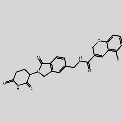 O=C1CCC(N2Cc3cc(CNC(=O)C4=Cc5c(F)cccc5OC4)ccc3C2=O)C(=O)N1